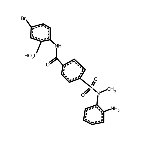 CN(c1ccccc1N)S(=O)(=O)c1ccc(C(=O)Nc2ccc(Br)cc2C(=O)O)cc1